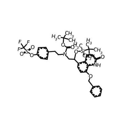 CC(C)(C)OC(=O)N(CCc1ccc(OS(=O)(=O)C(F)(F)F)cc1)CC(O[Si](C)(C)C(C)(C)C)c1ccc(OCc2ccccc2)c2[nH]c(=O)ccc12